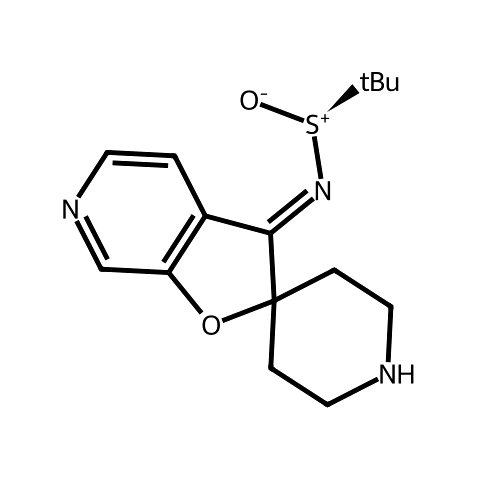 CC(C)(C)[S@+]([O-])N=C1c2ccncc2OC12CCNCC2